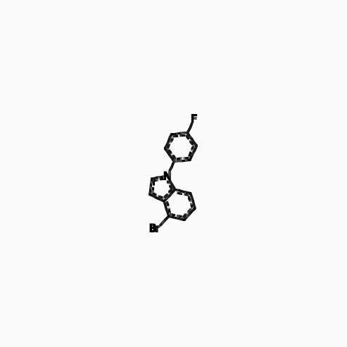 Fc1ccc(-n2ccc3c(Br)cccc32)cc1